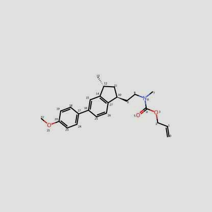 C=CCOC(=O)N(C)CC[C@@H]1C[C@@H](C)c2cc(-c3ccc(OC)cc3)ccc21